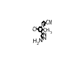 Cc1c(-c2cc(N)ncn2)cc(Cl)cc1-n1ccc(C#N)c1